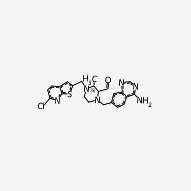 C[C@H]1C(C=O)N(Cc2ccc3c(N)ncnc3c2)CCN1Cc1cc2ccc(Cl)nc2s1